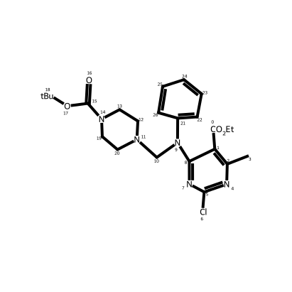 CCOC(=O)c1c(C)nc(Cl)nc1N(CN1CCN(C(=O)OC(C)(C)C)CC1)c1ccccc1